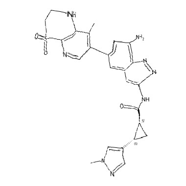 Cc1c(-c2cc(N)c3nnc(NC(=O)[C@H]4C[C@@H]4c4cnn(C)c4)cc3c2)cnc2c1NCCS2(=O)=O